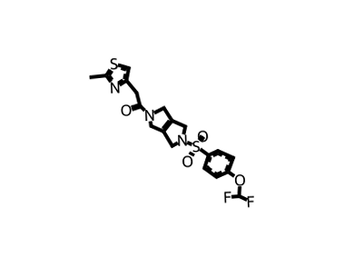 Cc1nc(CC(=O)N2CC3=C(C2)CN(S(=O)(=O)c2ccc(OC(F)F)cc2)C3)cs1